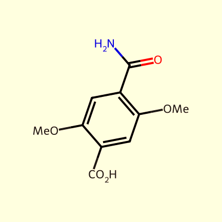 COc1cc(C(=O)O)c(OC)cc1C(N)=O